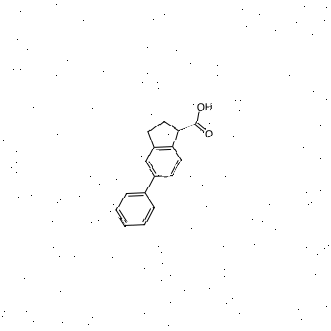 O=C(O)C1CCc2cc(-c3ccccc3)ccc21